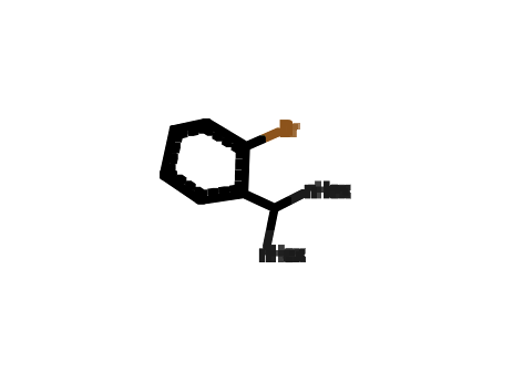 CCCCCCC(CCCCCC)c1ccccc1Br